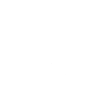 C=CC(=O)CC1CCC(C(C)(C)Cn2c(=O)ccc3ccc([C@@H](C)c4ccc(N5CCC(C(=C)C)CC5)cc4)nc32)CC1